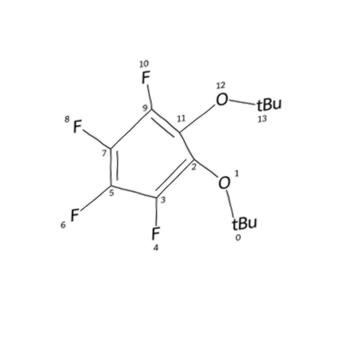 CC(C)(C)Oc1c(F)c(F)c(F)c(F)c1OC(C)(C)C